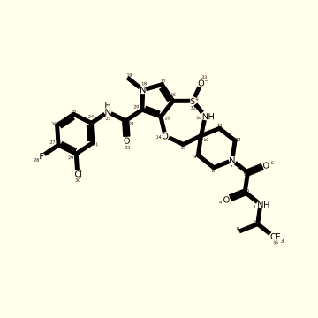 CC(NC(=O)C(=O)N1CCC2(CC1)COc1c(cn(C)c1C(=O)Nc1ccc(F)c(Cl)c1)[S+]([O-])N2)C(F)(F)F